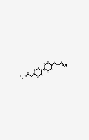 OCCCC1CCC(C2CCC(CCC(F)(F)F)CC2)CC1